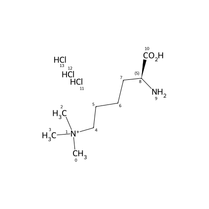 C[N+](C)(C)CCCC[C@H](N)C(=O)O.Cl.Cl.Cl